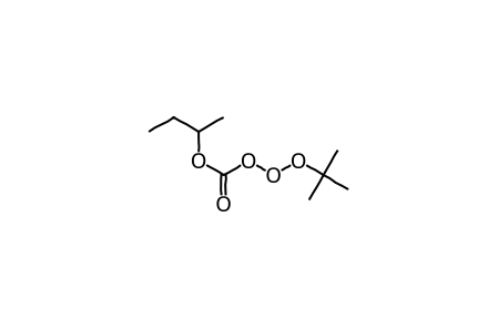 CCC(C)OC(=O)OOOC(C)(C)C